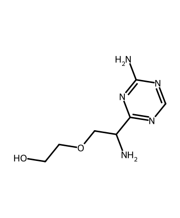 Nc1ncnc(C(N)COCCO)n1